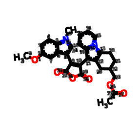 COc1ccc2c(c1)c(C1=C(c3c4c(n5ccccc35)CCC(COC(C)=O)C4)C(=O)OC1=O)cn2C